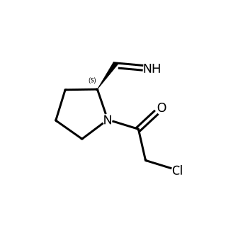 N=C[C@@H]1CCCN1C(=O)CCl